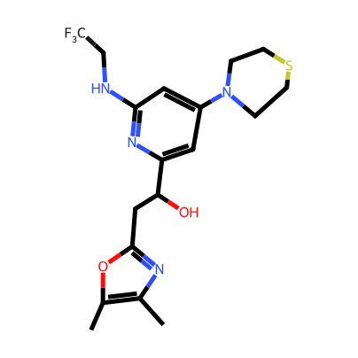 Cc1nc(CC(O)c2cc(N3CCSCC3)cc(NCC(F)(F)F)n2)oc1C